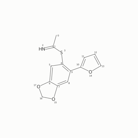 CC(=N)Sc1cc2c(cc1-c1ccco1)OCO2